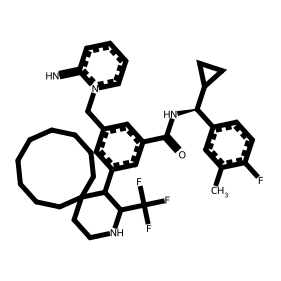 Cc1cc([C@@H](NC(=O)c2cc(Cn3ccccc3=N)cc(C3C(C(F)(F)F)NCCC34CCCCCCCCC4)c2)C2CC2)ccc1F